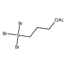 CC(=O)OCCC[Si](Br)(Br)Br